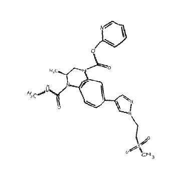 COC(=O)N1c2ccc(-c3cnn(CCS(C)(=O)=O)c3)cc2N(C(=O)Oc2ccccn2)C[C@@H]1C